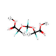 O=C(OC(F)(F)F)C(F)(OC(F)(F)OC(F)(C(=O)OC(F)(F)F)C(F)(F)F)C(F)(F)F